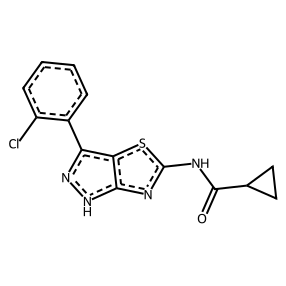 O=C(Nc1nc2[nH]nc(-c3ccccc3Cl)c2s1)C1CC1